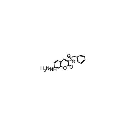 NNc1ccc2cc(S(=O)(=O)Cc3ccccc3)c(=O)oc2c1